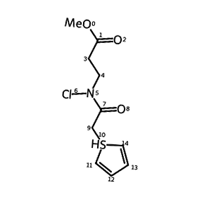 COC(=O)CCN(Cl)C(=O)C[SH]1C=CC=C1